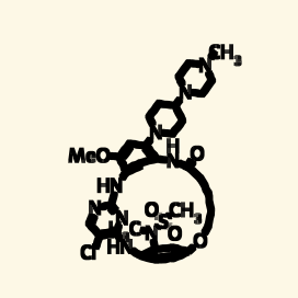 COc1cc(N2CCC(N3CCN(C)CC3)CC2)c2cc1Nc1ncc(Cl)c(n1)Nc1ccc(cc1N(C)S(C)(=O)=O)OCCCCC(=O)N2